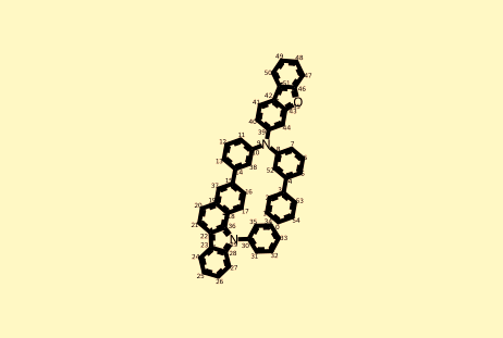 c1ccc(-c2cccc(N(c3cccc(-c4ccc5c(ccc6c7ccccc7n(-c7ccccc7)c56)c4)c3)c3ccc4c(c3)oc3ccccc34)c2)cc1